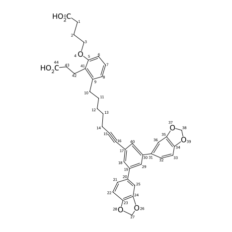 O=C(O)CCCOc1cccc(CCCCCC#Cc2cc(-c3ccc4c(c3)OCO4)cc(-c3ccc4c(c3)OCO4)c2)c1CCC(=O)O